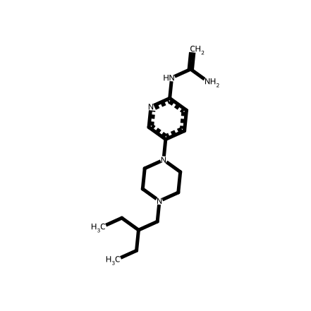 C=C(N)Nc1ccc(N2CCN(CC(CC)CC)CC2)cn1